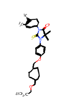 CCOC(=O)COCC1CCC(COc2ccc(N3C(=S)N(c4ccc(C#N)c(C(F)(F)F)c4)C(=O)C3(C)C)cc2)CC1